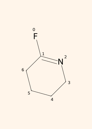 FC1=NCCCC1